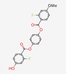 COc1ccc(C(=O)Oc2ccc(OC(=O)c3ccc(O)cc3F)cc2)c(F)c1